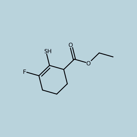 CCOC(=O)C1CCCC(F)=C1S